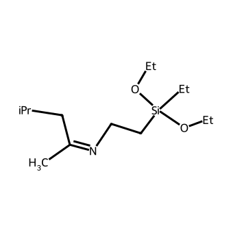 CCO[Si](CC)(CCN=C(C)CC(C)C)OCC